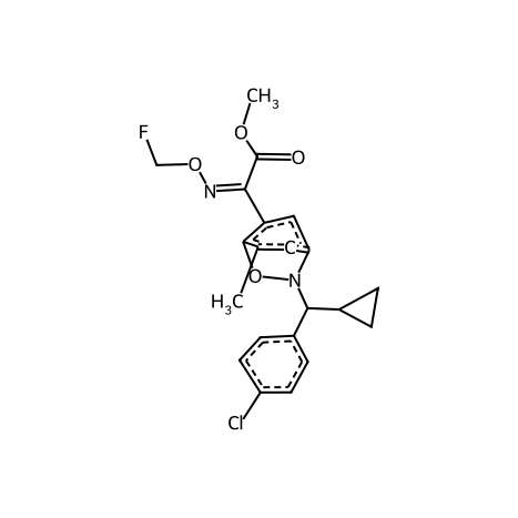 COC(=O)C(=NOCF)c1cc2cc(C)c1ON2C(c1ccc(Cl)cc1)C1CC1